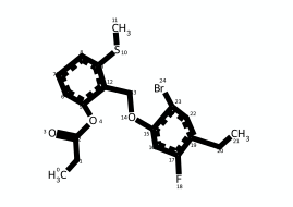 CCC(=O)Oc1cccc(SC)c1COc1cc(F)c(CC)cc1Br